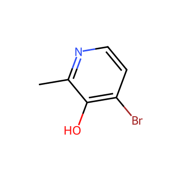 Cc1nccc(Br)c1O